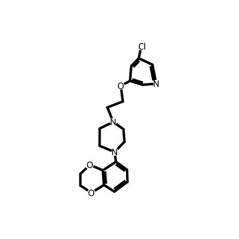 Clc1cncc(OCCN2CCN(c3cccc4c3OCCO4)CC2)c1